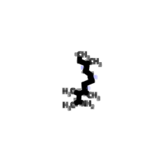 CC/C(C)=C/C=C\C=C(/C)C(C)C(C)N